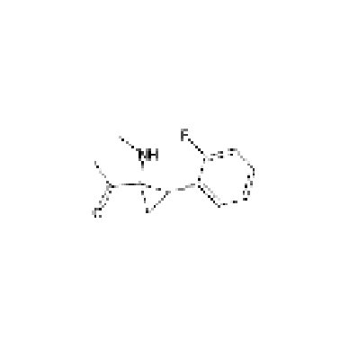 CNC1(C(C)=O)C[C@H]1c1ccccc1F